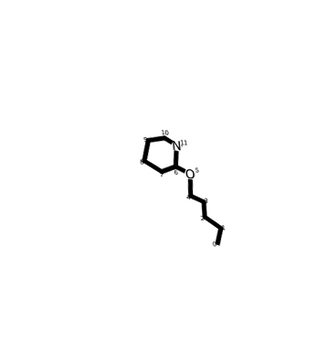 CCCCCOC1CCCC[N]1